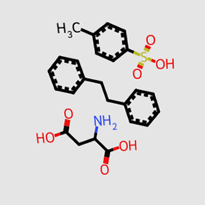 Cc1ccc(S(=O)(=O)O)cc1.NC(CC(=O)O)C(=O)O.c1ccc(CCc2ccccc2)cc1